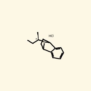 CC[C@@H](C)N1C2CCC1c1ccccc12.Cl